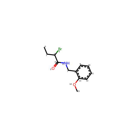 CCC(Br)C(=O)NCc1ccccc1OC